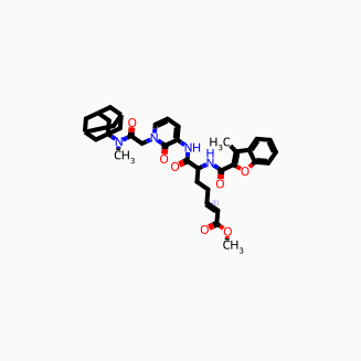 COC(=O)/C=C/CCC(NC(=O)c1oc2ccccc2c1C)C(=O)Nc1cccn(CC(=O)N(C)C23CC4CC(CC(C4)C2)C3)c1=O